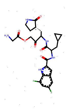 NCC(=O)OCC(=O)C(C[C@@H]1CCNC1=O)NC(=O)C(CC1CC1)NC(=O)c1cc2cc(F)cc(F)c2[nH]1